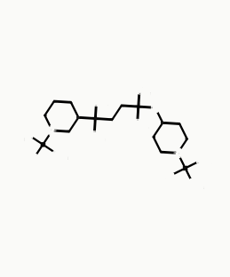 CC(C)(CCC(C)(C)C1CCCN(C(C)(C)C)C1)OC1CCN(C(C)(C)C)CC1